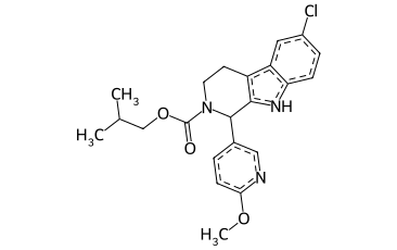 COc1ccc(C2c3[nH]c4ccc(Cl)cc4c3CCN2C(=O)OCC(C)C)cn1